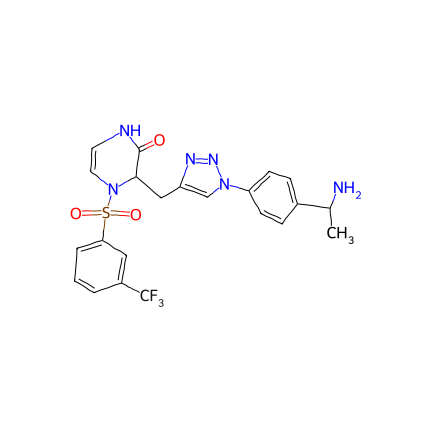 CC(N)c1ccc(-n2cc(CC3C(=O)NC=CN3S(=O)(=O)c3cccc(C(F)(F)F)c3)nn2)cc1